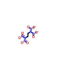 O=[N+]([O-])N(CCN([N+](=O)[O-])[N+](=O)[O-])[N+](=O)[O-]